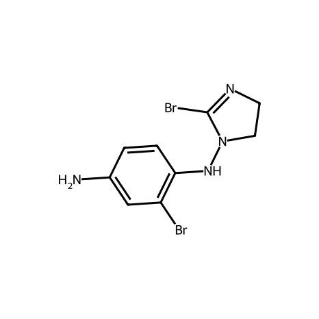 Nc1ccc(NN2CCN=C2Br)c(Br)c1